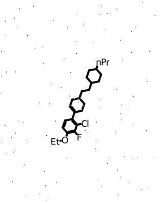 CCCC1CCC(CCC2CC=C(c3ccc(OCC)c(F)c3Cl)CC2)CC1